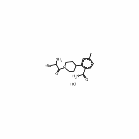 Cc1ccc(C(N)=O)c(C2CCN(C(=O)C(N)C(C)(C)C)CC2)c1.Cl